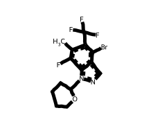 Cc1c(C(F)(F)F)c(Br)c2cnn(C3CCCCO3)c2c1F